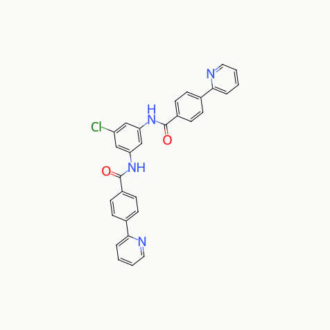 O=C(Nc1cc(Cl)cc(NC(=O)c2ccc(-c3ccccn3)cc2)c1)c1ccc(-c2ccccn2)cc1